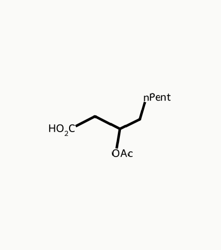 CCCCCCC(CC(=O)O)OC(C)=O